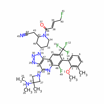 COc1c(C)cccc1-c1c(C(F)(F)F)cc2c(nc(N3CC(C)(N(C)C)C3)c3nnn([C@H]4CCN(C(=O)/C=C/CF)C(CC#N)C4)c32)c1F